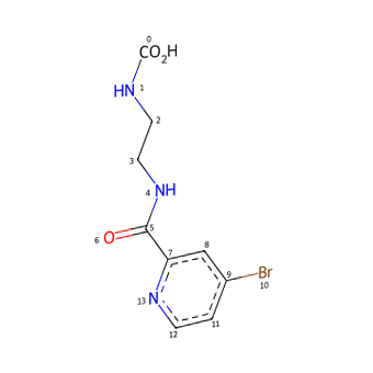 O=C(O)NCCNC(=O)c1cc(Br)ccn1